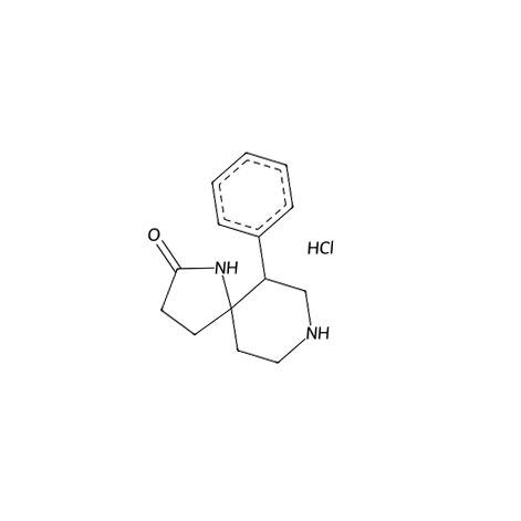 Cl.O=C1CCC2(CCNCC2c2ccccc2)N1